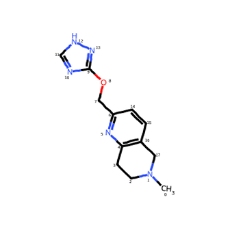 CN1CCc2nc(COc3nc[nH]n3)ccc2C1